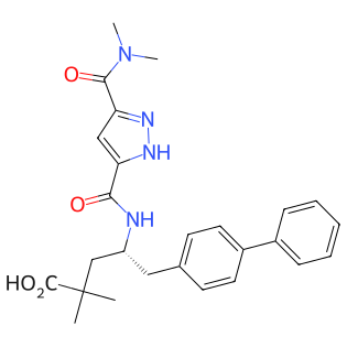 CN(C)C(=O)c1cc(C(=O)N[C@H](Cc2ccc(-c3ccccc3)cc2)CC(C)(C)C(=O)O)[nH]n1